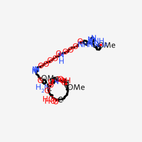 COc1cccc2cc(-c3nc([C@H]4CC[C@H](C(=O)NCCOCCOCCOCCNC(=O)CCOCCOCCOCCOCCn5cc(CCCCO[C@@H]6CC[C@@H](C[C@@H](N)[C@@H]7CC(=O)[C@H](C)/C=C(\C)[C@@H](O)[C@@H](O)C(=O)[C@H](C)C[C@H](C)/C=C/C=C/C=C(\C)[C@@H](OC)C[C@@H]8CC[C@@H](C)[C@@](O)(O8)C(=O)C(=O)N8CCCC[C@H]8C(=O)O7)C[C@H]6OC)nn5)CC4)n4ncnc(N)c34)[nH]c12